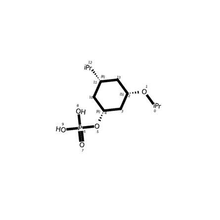 CC(C)O[C@@H]1C[C@H](OP(=O)(O)O)C[C@H](C(C)C)C1